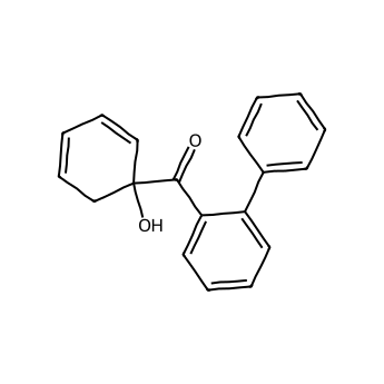 O=C(c1ccccc1-c1ccccc1)C1(O)C=CC=CC1